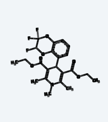 CCOC(=O)C1=C(C)N(C)C(C)=C(C(=O)OCC)C1c1cccc2c1OC(F)C(F)(F)O2